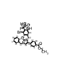 CCOC(=O)c1ccc(-c2cn(Cc3ccccc3)c(=O)n2Cc2ccc(C(F)(F)P(=O)(O)O)c(Br)c2)cc1